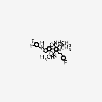 Cc1nnc(-c2c(CCc3ccc(F)cc3)nc(CC(C)C)c(C(N)=O)c2-c2ccc3c(c2)CCC3NCc2ccc(F)c(F)c2)o1